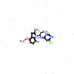 CCC(Nc1cc(Cl)ncn1)n1c(C)cc2c(OC)ccc(F)c21